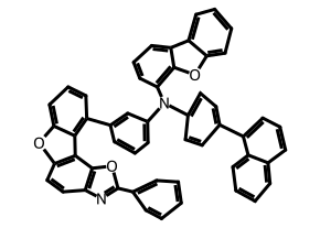 c1ccc(-c2nc3ccc4oc5cccc(-c6cccc(N(c7ccc(-c8cccc9ccccc89)cc7)c7cccc8c7oc7ccccc78)c6)c5c4c3o2)cc1